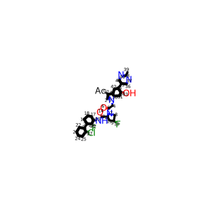 CC(=O)c1cn(CC(=O)N2CC(F)CC2C(=O)Nc2cccc(-c3ccccc3Cl)c2F)c2cc(O)c(-c3cnc(C)nc3)cc12